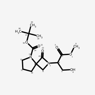 COC(=O)C(CO)N1CC2(CCCN2C(=O)OC(C)(C)C)C1=O